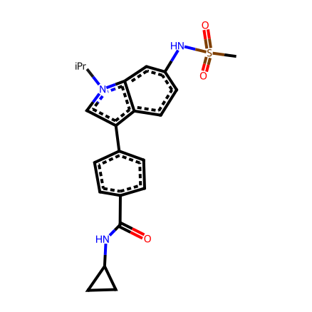 CC(C)n1cc(-c2ccc(C(=O)NC3CC3)cc2)c2ccc(NS(C)(=O)=O)cc21